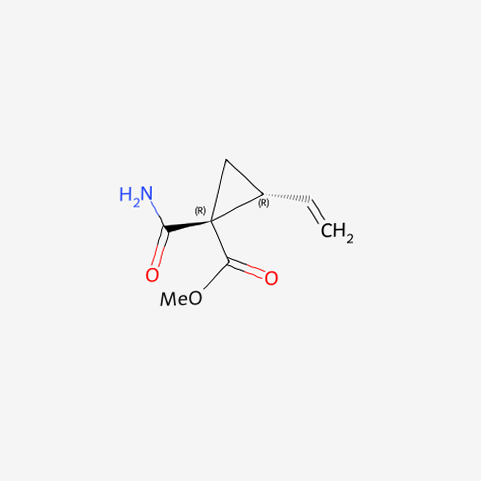 C=C[C@H]1C[C@@]1(C(N)=O)C(=O)OC